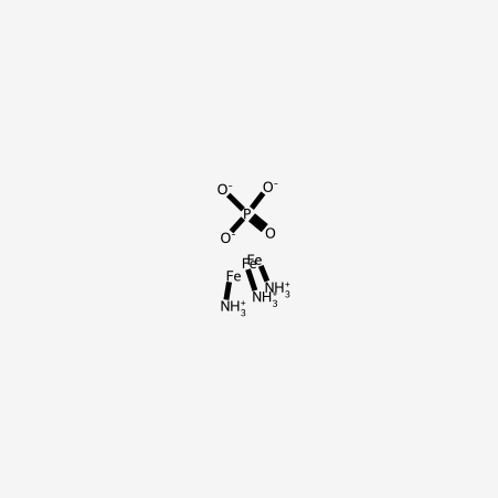 O=P([O-])([O-])[O-].[NH3+][Fe].[NH3+][Fe].[NH3+][Fe]